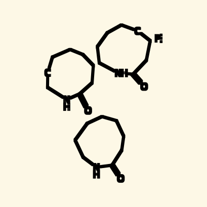 O=C1CCCCCCCN1.O=C1CCCCCCCN1.O=C1CCCCCCCN1.[P]